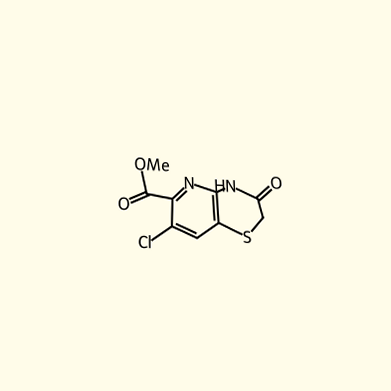 COC(=O)c1nc2c(cc1Cl)SCC(=O)N2